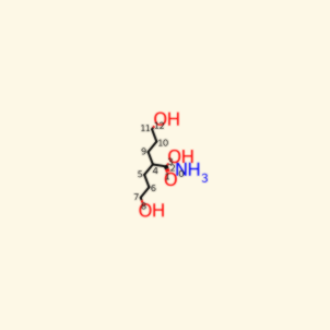 N.O=C(O)C(CCCO)CCCO